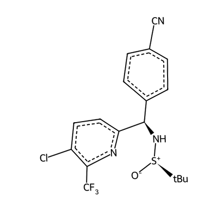 CC(C)(C)[S@@+]([O-])N[C@H](c1ccc(C#N)cc1)c1ccc(Cl)c(C(F)(F)F)n1